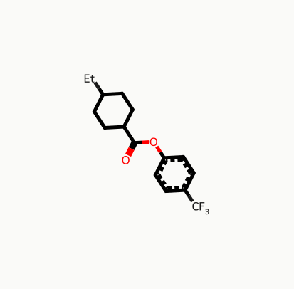 CCC1CCC(C(=O)Oc2ccc(C(F)(F)F)cc2)CC1